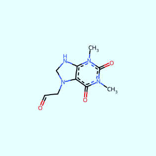 Cn1c2c(c(=O)n(C)c1=O)N(CC=O)CN2